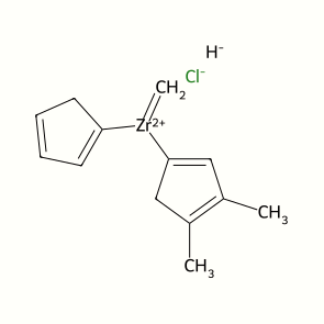 [CH2]=[Zr+2]([C]1=CC=CC1)[C]1=CC(C)=C(C)C1.[Cl-].[H-]